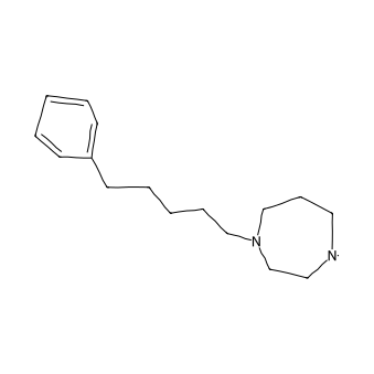 c1ccc(CCCCCN2CCC[N]CC2)cc1